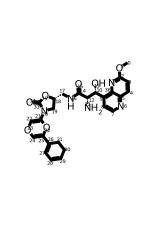 COc1ccc2nccc([C@@H](O)[C@H](N)C(=O)NC[C@@H]3CN(C4=COC=C(C5=CC=CCC5)O4)C(=O)O3)c2n1